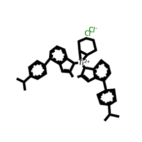 CC1=Cc2c(-c3ccc(C(C)C)cc3)cccc2[CH]1[Ti+2]1([CH]2C(C)=Cc3c(-c4ccc(C(C)C)cc4)cccc32)[CH]2CCCC[CH]21.[Cl-].[Cl-]